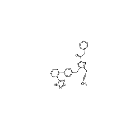 CC#CCn1nc(C(=O)Cc2ccccc2)nc1Cc1ccc(-c2ccccc2-c2nnn[nH]2)cc1